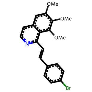 COc1cc2ccnc(C=Cc3ccc(Br)cc3)c2c(OC)c1OC